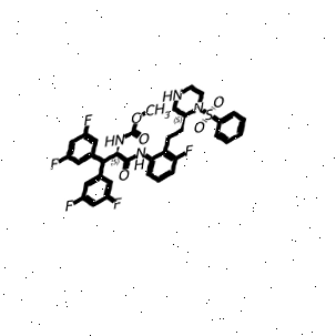 COC(=O)N[C@H](C(=O)Nc1cccc(F)c1CC[C@H]1CNCCN1S(=O)(=O)c1ccccc1)C(c1cc(F)cc(F)c1)c1cc(F)cc(F)c1